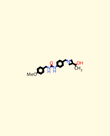 COc1ccc(CNC(=O)Nc2ccc(CN3CC([C@H](C)O)C3)cc2)cc1